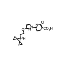 [2H]C1(CCOc2ccn(-c3ccc(C(=O)O)c(Cl)n3)n2)C2(CC2)C12CC2